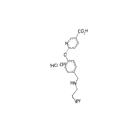 CC(C)CCNCc1ccc(Oc2ccc(C(=O)O)cn2)cc1.Cl.Cl